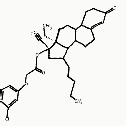 C#C[C@]1(OC(=O)COc2cccc(Cl)c2)CC(CCCCC)C2C3CCC4=CC(=O)CCC4C3CC[C@@]21CC